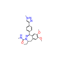 CCC1Cc2cc(OC)c(OC)cc2C(c2ccc(-c3cn(C)nn3)cc2)=NN1C(=O)NC